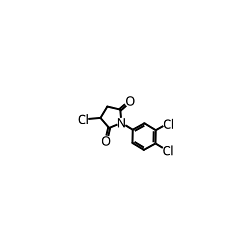 O=C1CC(Cl)C(=O)N1c1ccc(Cl)c(Cl)c1